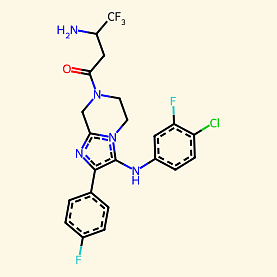 NC(CC(=O)N1CCn2c(nc(-c3ccc(F)cc3)c2Nc2ccc(Cl)c(F)c2)C1)C(F)(F)F